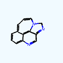 c1cc2cccn3c4c(cnc(c1)c24)=NC3